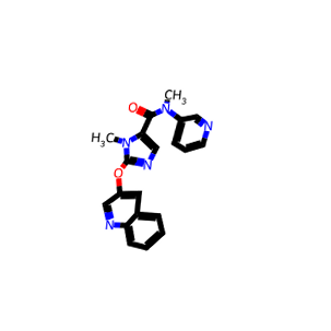 CN(C(=O)c1cnc(Oc2cnc3ccccc3c2)n1C)c1cccnc1